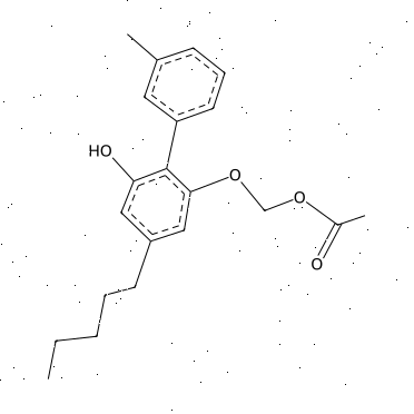 CCCCCc1cc(O)c(-c2cccc(C)c2)c(OCOC(C)=O)c1